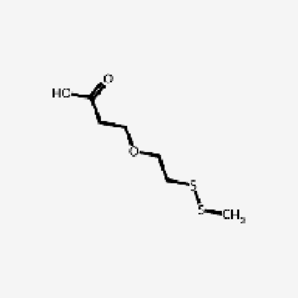 CSSCCOCCC(=O)O